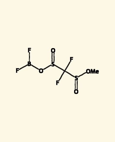 COS(=O)C(F)(F)S(=O)OB(F)F